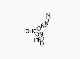 CN1CCC(CN2CCN(c3ccc(C=O)c(C(=O)N(C)C4CCC(=O)NC4=O)c3)CC2)CC1